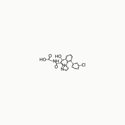 O=C(O)CNC(=O)c1c(O)c2cccc(-c3cccc(Cl)c3)c2c2ccnn12